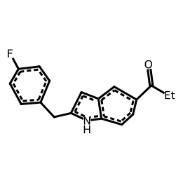 CCC(=O)c1ccc2[nH]c(Cc3ccc(F)cc3)cc2c1